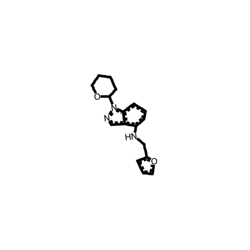 c1coc(CNc2cccc3c2cnn3C2CCCCO2)c1